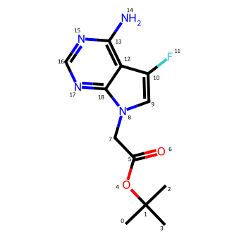 CC(C)(C)OC(=O)Cn1cc(F)c2c(N)ncnc21